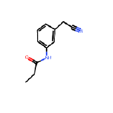 CCC(=O)Nc1cccc(CC#N)c1